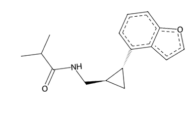 CC(C)C(=O)NC[C@@H]1C[C@H]1c1cccc2occc12